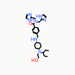 CCC(CC)N(CCO)[C@H]1CC[C@H](NCc2ccc(C(=O)N(Cc3ncc[nH]3)Cc3ncc[nH]3)cc2)CC1